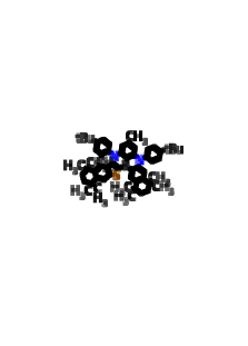 Cc1cc2c3c(c1)N(c1ccc(C(C)(C)C)cc1C)c1c(sc4cc5c(cc14)C(C)(C)CCC5(C)C)B3c1cc3c(cc1N2c1ccc(C(C)(C)C)cc1)C(C)(C)CCC3(C)C